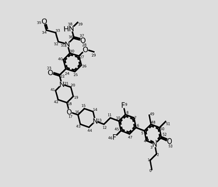 CCCn1cc(-c2cc(F)c(CCN3CCC(OC4CCN(C(=O)c5ccc(OC)c(N(CCC=O)C(=O)NC)c5)CC4)CC3)c(F)c2)c(C)c(C)c1=O